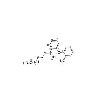 Cc1ccccc1Oc1ccccc1C(O)CCCNC(=O)O